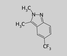 Cc1c2cc(C(F)(F)F)ccc2nn1C